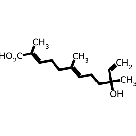 C=CC(C)(O)CC/C=C(\C)CC/C=C(\C)C(=O)O